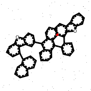 c1ccc(-c2cccc3c2oc2ccccc23)c(-c2c3ccccc3c(-c3ccc4oc5cccc(-c6cccc7ccccc67)c5c4c3)c3ccccc23)c1